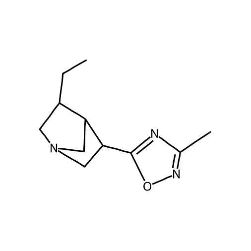 CCC1CN2CC(c3nc(C)no3)C1C2